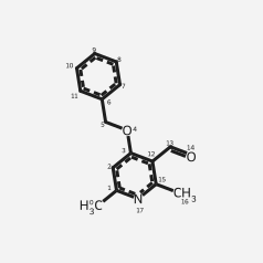 Cc1cc(OCc2ccccc2)c(C=O)c(C)n1